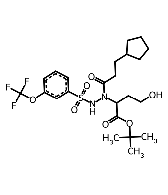 CC(C)(C)OC(=O)C(CCO)N(NS(=O)(=O)c1cccc(OC(F)(F)F)c1)C(=O)CCC1CCCC1